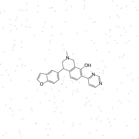 CN1Cc2c(ccc(-c3ccncn3)c2O)C(c2ccc3occc3c2)C1